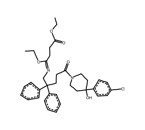 CCOC(=O)CCC(=NCC(CCC(=O)N1CCC(O)(c2ccc(Cl)cc2)CC1)(c1ccccc1)c1ccccc1)OCC